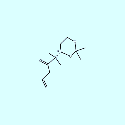 C=CCC(=O)C(C)(C)[C@@H]1CCOC(C)(C)O1